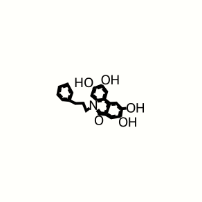 O=c1c2cc(O)c(O)cc2c2cc(O)c(O)cc2n1CCCc1ccccc1